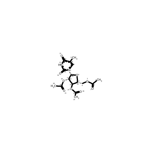 CC(=O)OC[C@H]1O[C@@H](n2cc(C)c(=O)[nH]c2=O)[C@@H](OC(C)=O)C1OC(C)=O